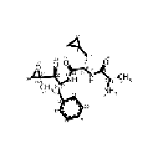 C[C@H](N)C(=O)N[C@@H](CC1CC1)C(=O)N[C@@H](Cc1ccccc1)C(=O)[C@@]1(C)CO1